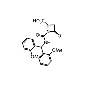 COc1ccccc1C(NC(=O)N1C(=O)CC1C(=O)O)c1ccccc1OC